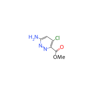 COC(=O)c1nnc(N)cc1Cl